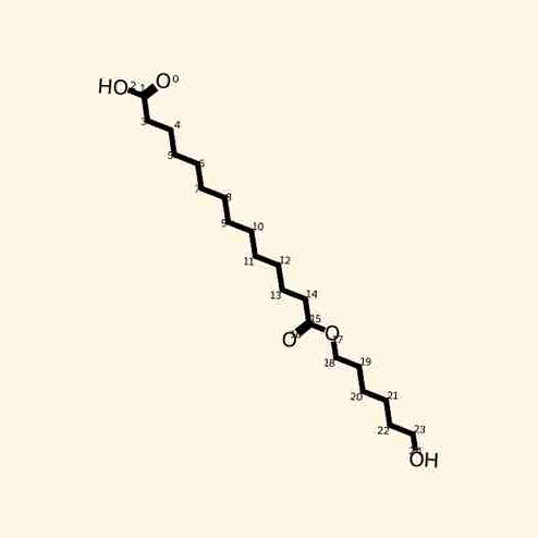 O=C(O)CCCCCCCCCCCCC(=O)OCCCCCCO